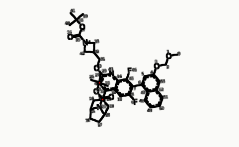 COCOc1cc(-c2c(F)cc3c(N4CC5CCC(C4)N5C(=O)OC(C)(C)C)nc(OCC4CN(C(=O)OC(C)(C)C)C4)nc3c2F)c2ccccc2c1